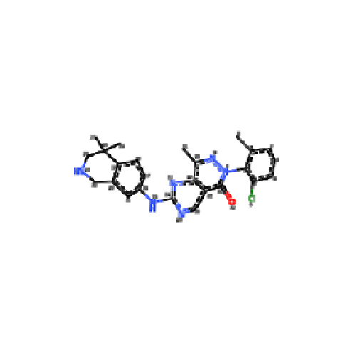 Cc1cccc(Cl)c1-n1nc(C)c2nc(Nc3ccc4c(c3)CNCC4(C)C)ncc2c1=O